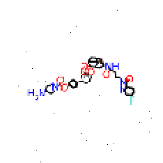 NC1CCN(C(=O)Oc2ccc(C3CCC[C@]4(C3)OOC3(O4)C4CC5CC3CC(NC(=O)CCCNC(=O)c3ccc(F)cc3)(C5)C4)cc2)CC1